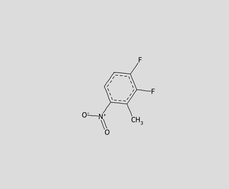 Cc1c([N+](=O)[O-])ccc(F)c1F